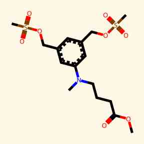 COC(=O)CCCN(C)c1cc(COS(C)(=O)=O)cc(COS(C)(=O)=O)c1